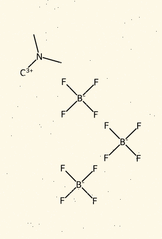 F[B-](F)(F)F.F[B-](F)(F)F.F[B-](F)(F)F.[C+3]N(C)C